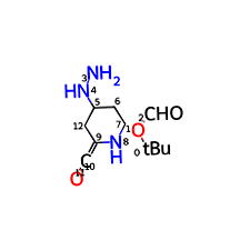 CC(C)(C)OC=O.NNC1CCNC(=C=O)C1